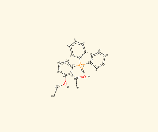 C=P(c1ccccc1)(c1ccccc1)c1cccc(OCC)c1C(C)=O